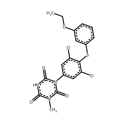 CCOc1cccc(Sc2c(Cl)cc(-n3c(=O)[nH]c(=O)n(C)c3=O)cc2Cl)c1